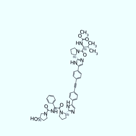 COC(=O)N[C@H](C(=O)N1CCC[C@H]1c1ncc(-c2ccc(C#Cc3ccc(-c4cnc([C@@H]5CCCN5C(=O)[C@H](NC(=O)N5CC[C@@H](O)C5)c5ccccc5)[nH]4)cc3)cc2)[nH]1)C(C)C